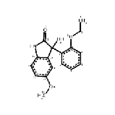 CCOc1ccccc1C1(O)C(=O)Nc2ccc(OC)cc21